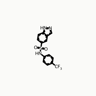 O=S(=O)(Nc1ccc(C(F)(F)F)cc1)c1ccc2[nH]ncc2c1